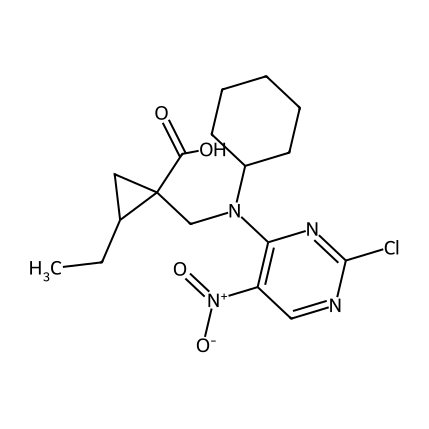 CCC1CC1(CN(c1nc(Cl)ncc1[N+](=O)[O-])C1CCCCC1)C(=O)O